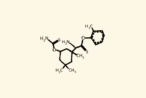 Cc1ccccc1OC(=S)C(N)C1(C)CC(OC(N)=S)CC(C)(C)C1